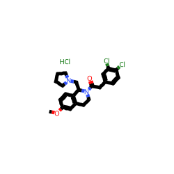 COc1ccc2c(c1)CCN(C(=O)Cc1ccc(Cl)c(Cl)c1)C2CN1CCCC1.Cl